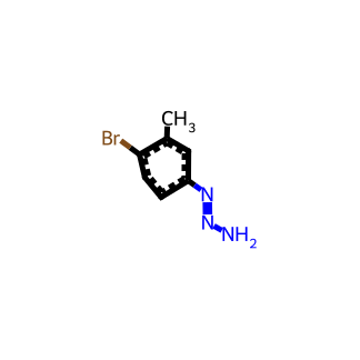 Cc1cc(N=NN)ccc1Br